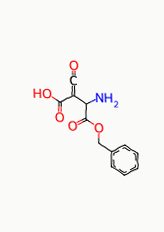 NC(C(=O)OCc1ccccc1)C(=C=O)C(=O)O